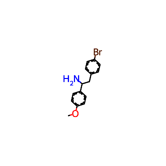 COc1ccc(C(N)Cc2ccc(Br)cc2)cc1